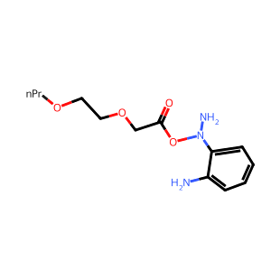 CCCOCCOCC(=O)ON(N)c1ccccc1N